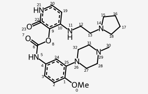 COc1ccc(NC(=O)Oc2c(NCCN3CCCC3)cc[nH]c2=O)cc1N1CCN(C)CC1